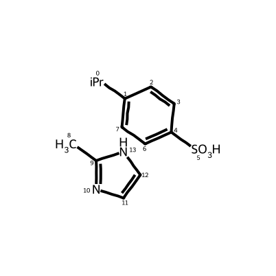 CC(C)c1ccc(S(=O)(=O)O)cc1.Cc1ncc[nH]1